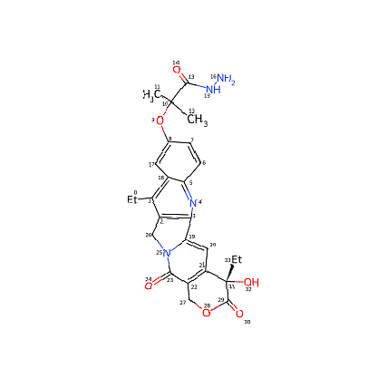 CCc1c2c(nc3ccc(OC(C)(C)C(=O)NN)cc13)-c1cc3c(c(=O)n1C2)COC(=O)[C@]3(O)CC